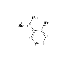 CC(C)c1ccccc1P(C(C)(C)C)C(C)(C)C